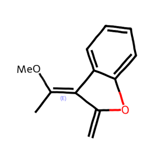 C=c1oc2ccccc2/c1=C(/C)OC